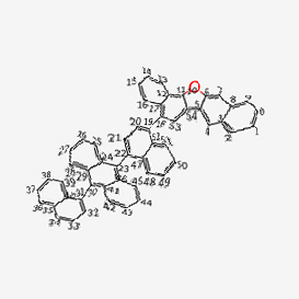 c1ccc2cc3c(cc2c1)oc1c2ccccc2c(-c2ccc(-c4c5ccccc5c(-c5cccc6ccccc56)c5ccccc45)c4ccccc24)cc31